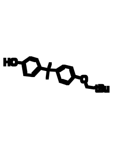 CC(C)(C)COc1ccc(C(C)(C)c2ccc(O)cc2)cc1